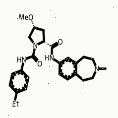 CCc1ccc(NC(=O)N2C[C@H](OC)C[C@@H]2C(=O)Nc2ccc3c(c2)CCN(C)CC3)cc1